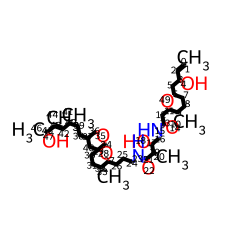 C/C=C/C(O)CC1CCC(C)C(CC(=O)NCC(O)C(C)C(=O)NCCCC2OC3(CCC2C)COCC(CCC(C)/C=C(\C)C(C)O)C3)O1